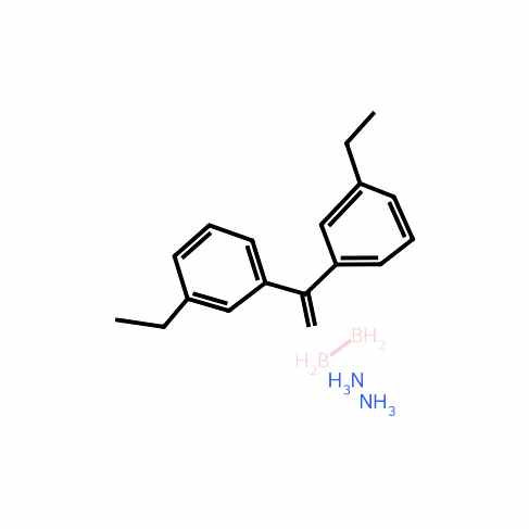 BB.C=C(c1cccc(CC)c1)c1cccc(CC)c1.N.N